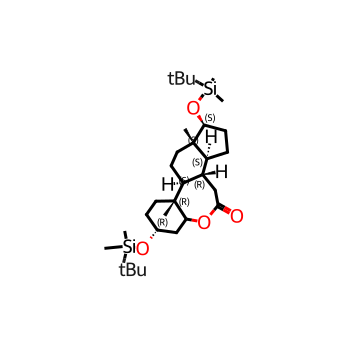 CC(C)(C)[Si](C)(C)O[C@@H]1CC[C@@]2(C)C(C1)OC(=O)C[C@H]1[C@@H]3CC[C@H](O[Si](C)(C)C(C)(C)C)[C@@]3(C)CC[C@@H]12